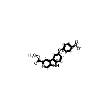 COC(=O)c1cc2c(cn1)[nH]c1ccc(Oc3ccc([N+](=O)[O-])cc3)cc12